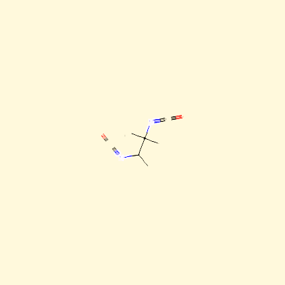 CCCC(N=C=O)C(C)(C)N=C=O